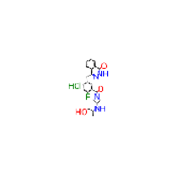 CC(CO)NC1CN(C(=O)c2cc(Cc3n[nH]c(=O)c4ccccc34)ccc2F)C1.Cl